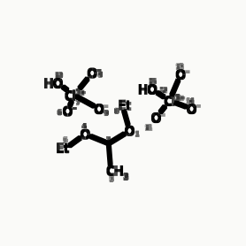 CCOC(C)OCC.[O-][Cl+3]([O-])([O-])O.[O-][Cl+3]([O-])([O-])O